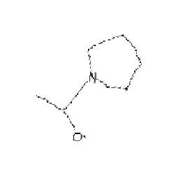 CC([O])N1CCCC1